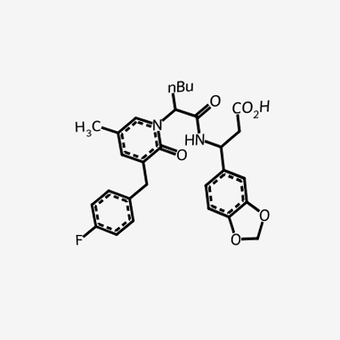 CCCCC(C(=O)NC(CC(=O)O)c1ccc2c(c1)OCO2)n1cc(C)cc(Cc2ccc(F)cc2)c1=O